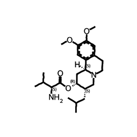 COc1cc2c(cc1OC)[C@@H]1C[C@@H](OC(=O)[C@@H](N)C(C)C)[C@@H](CC(C)C)CN1CC2